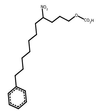 O=C(O)OCCCC(CCCCCCCc1ccccc1)[N+](=O)[O-]